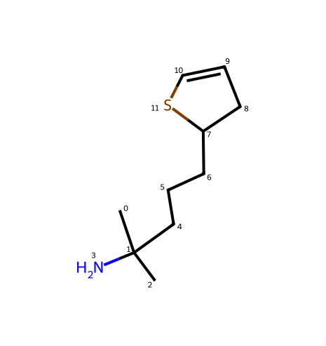 CC(C)(N)CCCC1CC=CS1